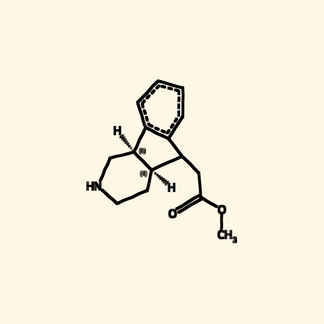 COC(=O)CC1c2ccccc2[C@@H]2CNCC[C@H]12